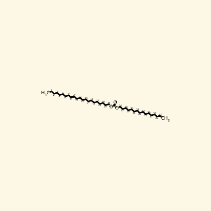 CCCCCCCCC=CCCCCCCCCCCCCOC(=O)OCCCCCCCCCCCCCCCC